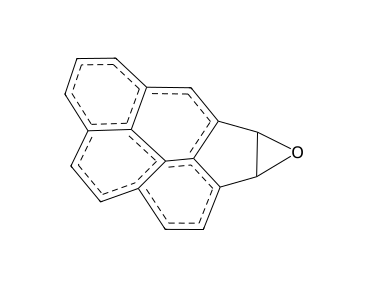 c1cc2ccc3ccc4c5c(cc(c1)c2c35)C1OC41